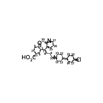 O=C(O)c1ccc2c(c1)/C(=C/CCN1CCC(c3ccc(Cl)cc3)CC1)c1cccnc1CO2